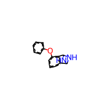 c1ccc(Oc2cccc3c2C2NC3N2)cc1